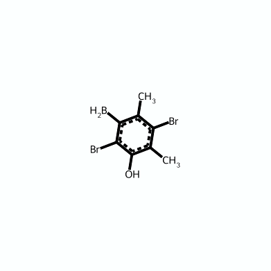 Bc1c(C)c(Br)c(C)c(O)c1Br